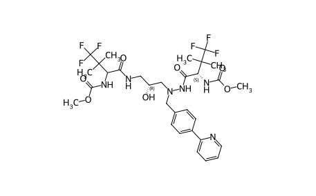 COC(=O)NC(C(=O)NC[C@@H](O)CN(Cc1ccc(-c2ccccn2)cc1)NC(=O)[C@@H](NC(=O)OC)C(C)(C)C(F)(F)F)C(C)(C)C(F)(F)F